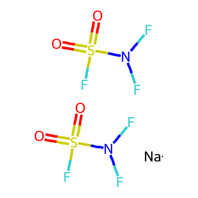 O=S(=O)(F)N(F)F.O=S(=O)(F)N(F)F.[Na]